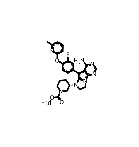 Cc1cccc(Oc2ccc(-c3c4n(c5ncnc(N)c35)CCN4[C@H]3CCCN(C(=O)OC(C)(C)C)C3)cc2F)n1